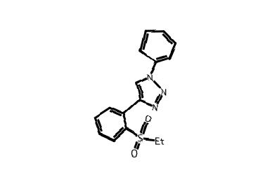 CCS(=O)(=O)c1ccccc1-c1cn(-c2ccccc2)nn1